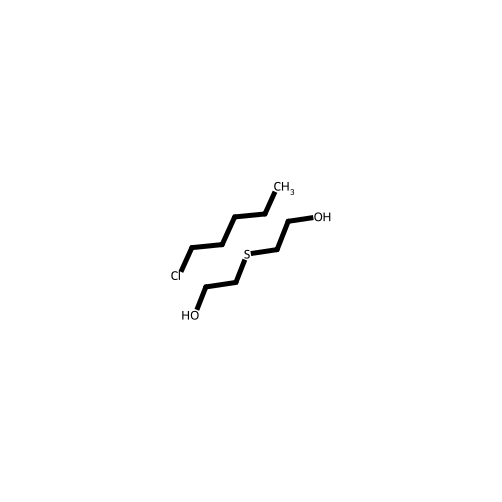 CCCCCCl.OCCSCCO